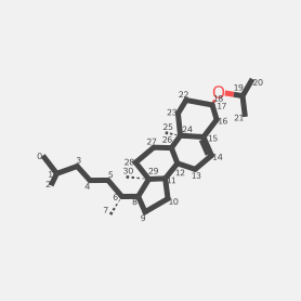 CC(C)CCC[C@@H](C)C1CCC2C3CC=C4C[C@@H](OC(C)C)CC[C@]4(C)C3CC[C@@]21C